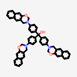 OC(c1ccc(N2COc3cc4ccccc4cc3C2)cc1)(c1ccc(N2COc3cc4ccccc4cc3C2)cc1)c1ccc(N2COc3cc4ccccc4cc3C2)cc1